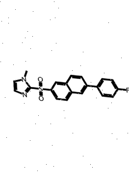 Cn1ccnc1S(=O)(=O)c1ccc2cc(-c3ccc(F)cc3)ccc2c1